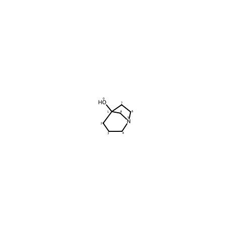 OC12CCCN(CC1)C2